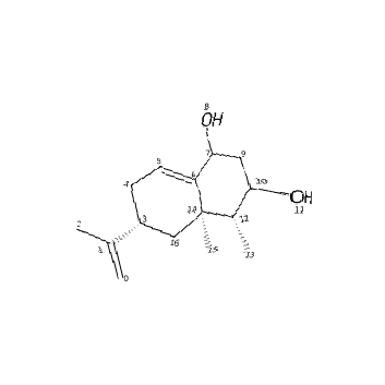 C=C(C)[C@@H]1CC=C2C(O)CC(O)[C@H](C)[C@@]2(C)C1